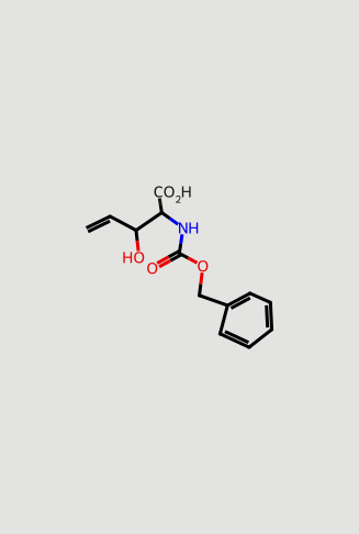 C=CC(O)C(NC(=O)OCc1ccccc1)C(=O)O